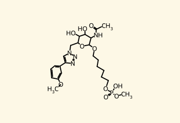 COc1cccc(-c2cn(CC3OC(OCCCCCCOP(=O)(O)OC)C(NC(C)=O)C(O)C3O)nn2)c1